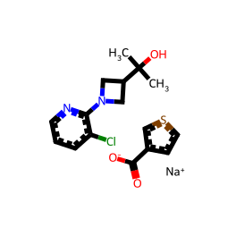 CC(C)(O)C1CN(c2ncccc2Cl)C1.O=C([O-])c1ccsc1.[Na+]